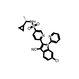 C[C@H](NS(=O)(=O)c1ccc(-c2c(C#N)c3ccc(Cl)cc3n2-c2ccccn2)nc1)C1CC1